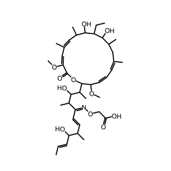 CC=CC(O)C(C)C=CC(=NOCC(=O)O)C(C)C(O)C(C)C1OC(=O)C(OC)=CC(C)=CC(C)C(O)C(CC)C(O)C(C)CC(C)=CC=CC1OC